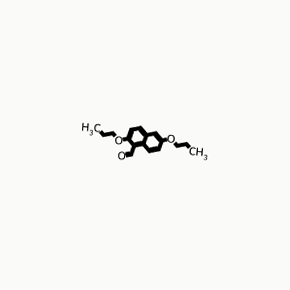 CCCOc1ccc2c(C=O)c(OCCC)ccc2c1